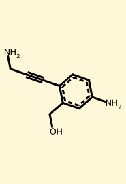 NCC#Cc1ccc(N)cc1CO